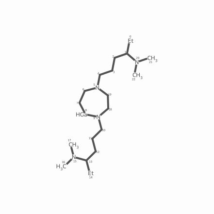 CCC(CCCN1C[CH2][GaH][N](CCCC(CC)N(C)C)CC1)N(C)C